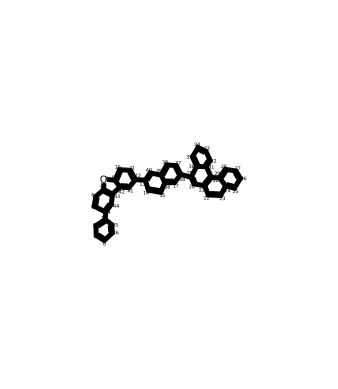 c1ccc(-c2ccc3oc4ccc(-c5ccc6cc(-c7cc8ccc9ccccc9c8c8ccccc78)ccc6c5)cc4c3c2)cc1